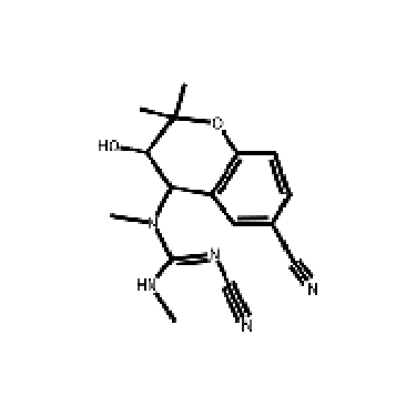 CNC(=NC#N)N(C)C1c2cc(C#N)ccc2OC(C)(C)C1O